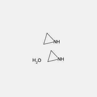 C1CN1.C1CN1.O